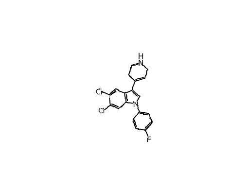 Fc1ccc(-n2cc(C3=CCNCC3)c3cc(Cl)c(Cl)cc32)cc1